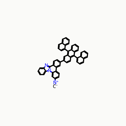 [C-]#[N+]c1ccc2c3cc(-c4ccc5c(-c6cccc7ccccc67)c6ccccc6c(-c6cccc7ccccc67)c5c4)ccc3c3nc4ccccc4n3c2c1